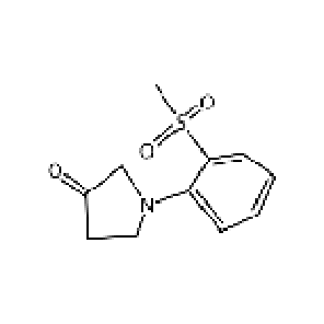 CS(=O)(=O)c1ccccc1N1CCC(=O)C1